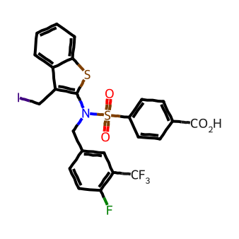 O=C(O)c1ccc(S(=O)(=O)N(Cc2ccc(F)c(C(F)(F)F)c2)c2sc3ccccc3c2CI)cc1